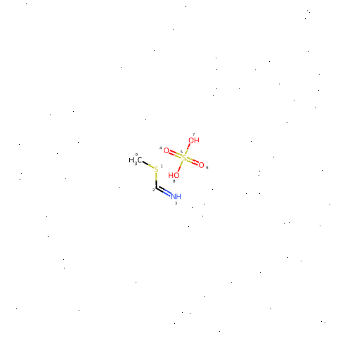 CSC=N.O=S(=O)(O)O